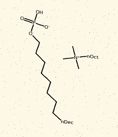 CCCCCCCCCCCCCCCCCCOP(=O)([O-])O.CCCCCCCC[N+](C)(C)C